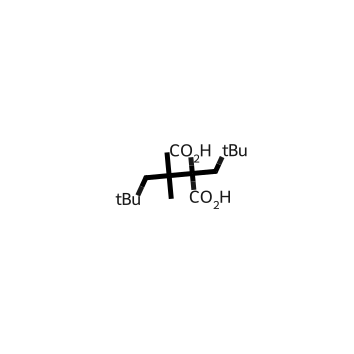 CC(C)(C)CC(C)(C)C(CC(C)(C)C)(C(=O)O)C(=O)O